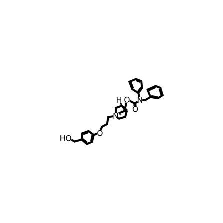 O=C(O[C@H]1C[N+]2(CCCOc3ccc(CO)cc3)CCC1CC2)N(Cc1ccccc1)c1ccccc1